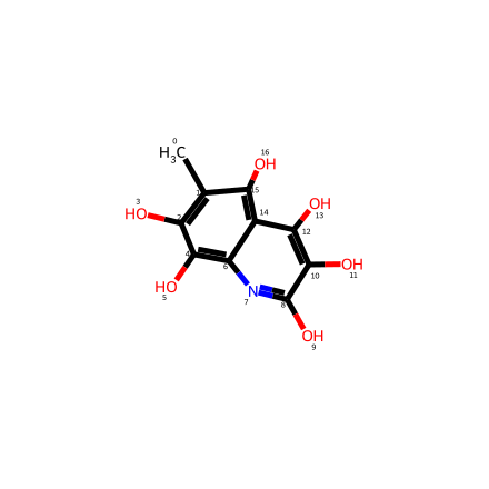 Cc1c(O)c(O)c2nc(O)c(O)c(O)c2c1O